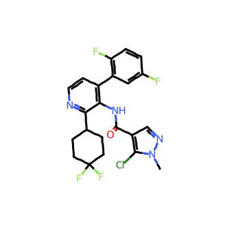 Cn1ncc(C(=O)Nc2c(-c3cc(F)ccc3F)ccnc2C2CCC(F)(F)CC2)c1Cl